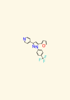 FC(F)(F)c1ccc(-n2nc(-c3ccncc3)cc2-c2ccco2)cc1